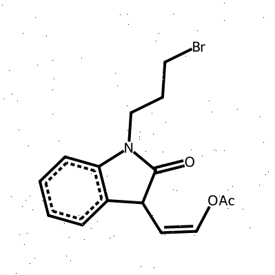 CC(=O)O/C=C\C1C(=O)N(CCCBr)c2ccccc21